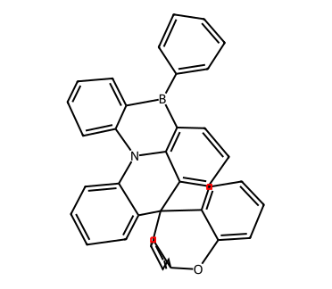 c1ccc(B2c3ccccc3N3c4ccccc4C4(c5ccccc5Oc5ccccc54)c4cccc2c43)cc1